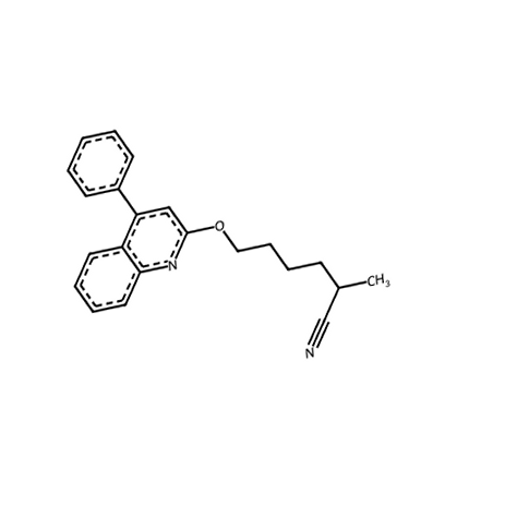 CC(C#N)CCCCOc1cc(-c2ccccc2)c2ccccc2n1